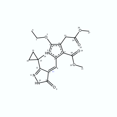 CCOc1[nH]c(/C=C2/C(=O)NN=C2C2(C)CC2)c(C(=O)OC)c1CC(=O)OC